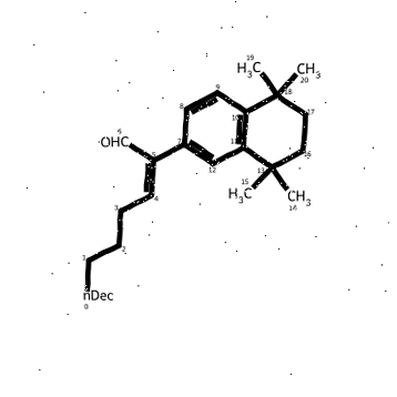 CCCCCCCCCCCCCC=C([C]=O)c1ccc2c(c1)C(C)(C)CCC2(C)C